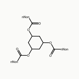 CCCCCCCCCC(=O)OC1CC(OC(=O)CCCCCCCCC)CC(OC(=O)CCCCCCCCC)C1